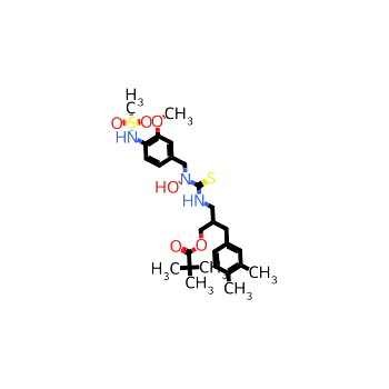 COc1cc(CN(O)C(=S)NCC(COC(=O)C(C)(C)C)Cc2ccc(C)c(C)c2)ccc1NS(C)(=O)=O